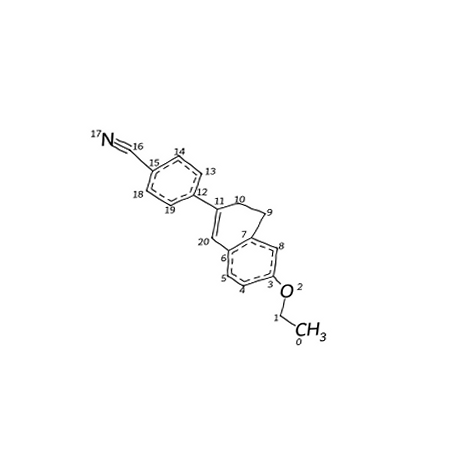 CCOc1ccc2c(c1)CCC(c1ccc(C#N)cc1)=C2